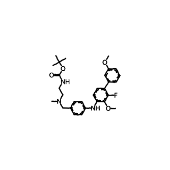 COc1cccc(-c2ccc(Nc3ccc(CN(C)CCNC(=O)OC(C)(C)C)cc3)c(OC)c2F)c1